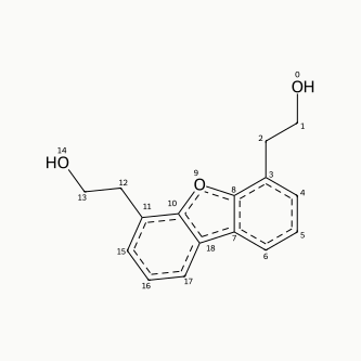 OCCc1cccc2c1oc1c(CCO)cccc12